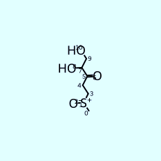 C[S+]([O-])CCC(=O)C(O)CO